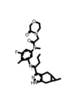 CCC/C(=N\c1cc(N(C)C(=O)CN2CCOCC2=O)cc(F)c1C)c1n[nH]c2c1CC1C(C)C1C2